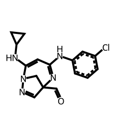 O=CC12C=NN(C1)C(NC1CC1)=CC(Nc1cccc(Cl)c1)=N2